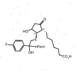 CCCCCC(O)(CS[C@H]1C(O)CC(=O)[C@@H]1CCCCCCC(=O)O)c1ccc(F)cc1